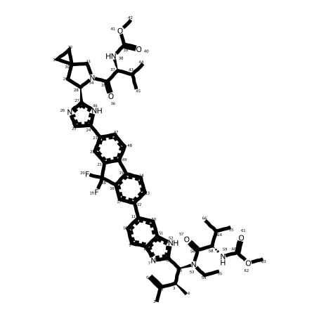 C=C(C)[C@H](C)[C@@H](c1nc2ccc(-c3ccc4c(c3)C(F)(F)c3cc(-c5cnc([C@H]6CC7(CC7)CN6C(=O)[C@@H](NC(=O)OC)C(C)C)[nH]5)ccc3-4)cc2[nH]1)N(CC)C(=O)[C@@H](NC(=O)OC)C(C)C